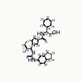 C=C(/N=C(\C(C)=C/C)n1ccc(C(=C)NC(CO)c2ccccc2)c1)Nc1ccc2c(c1)CCC2